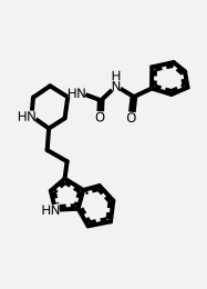 O=C(NC(=O)c1ccccc1)NC1CCNC(CCc2c[nH]c3ccccc23)C1